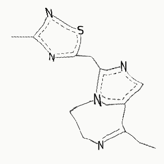 CC1=NCCn2c1cnc2-c1nc(C)ns1